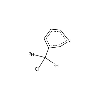 [2H]C([2H])(Cl)c1cccnc1